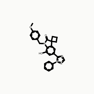 COc1ccc(CN2C(=O)C3(CCC3)c3cc(-c4ncnn4-c4ccccc4)cc(O)c32)cc1